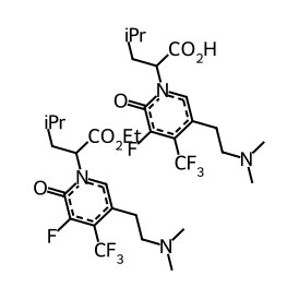 CC(C)CC(C(=O)O)n1cc(CCN(C)C)c(C(F)(F)F)c(F)c1=O.CCOC(=O)C(CC(C)C)n1cc(CCN(C)C)c(C(F)(F)F)c(F)c1=O